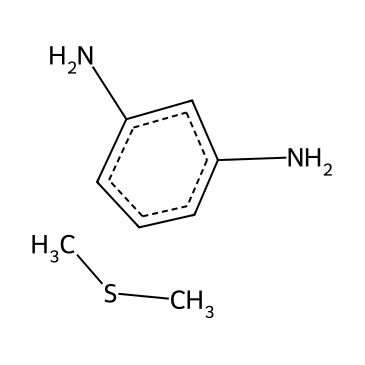 CSC.Nc1cccc(N)c1